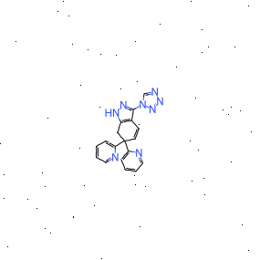 C1=CC(c2ccccn2)(c2ccccn2)Cc2[nH]nc(-n3cnnn3)c21